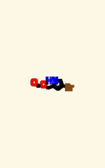 O=COCc1cc(Br)c[nH]1